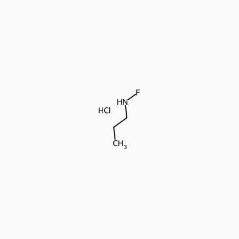 CCCNF.Cl